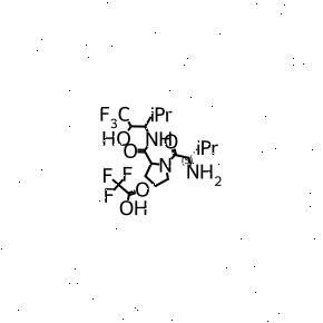 CC(C)C(NC(=O)C1CCCN1C(=O)[C@@H](N)C(C)C)C(O)C(F)(F)F.O=C(O)C(F)(F)F